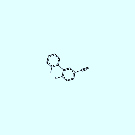 N#Cc1ccc(F)c(-c2cccnc2F)c1